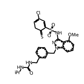 COc1cccc2c1c(NS(=O)(=O)C1=CC(Cl)=CCC1=S)nn2Cc1cccc(CNC(=O)NC(C)C)c1